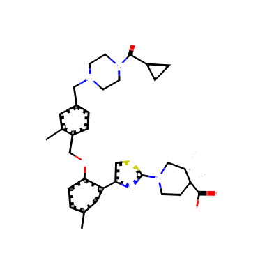 Cc1ccc(OCc2ccc(CN3CCN(C(=O)C4CC4)CC3)cc2C)c(-c2csc(N3CC[C@](C)(C(=O)O)[C@@H](C)C3)n2)c1